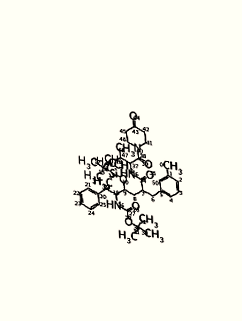 Cc1cccc(CC(CC(O[Si](C)(C)C(C)(C)C)C(Cc2ccccc2)NC(=O)OC(C)(C)C)C(=O)NC(C(=O)N2CCC(=O)CC2)C(C)C)c1